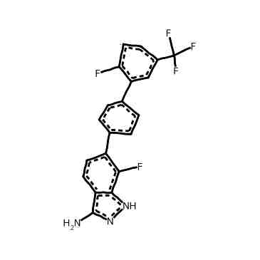 Nc1n[nH]c2c(F)c(-c3ccc(-c4cc(C(F)(F)F)c[c]c4F)cc3)ccc12